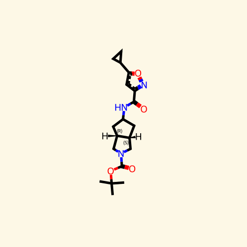 CC(C)(C)OC(=O)N1C[C@H]2CC(NC(=O)c3cc(C4CC4)on3)C[C@H]2C1